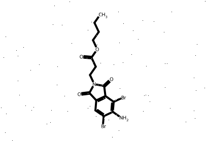 CCCCOC(=O)CCN1C(=O)c2cc(Br)c(N)c(Br)c2C1=O